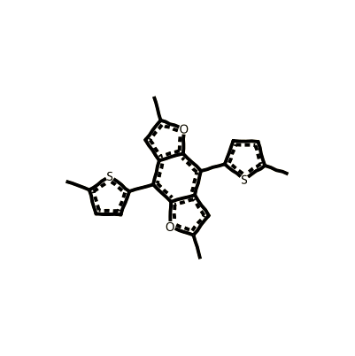 Cc1cc2c(-c3ccc(C)s3)c3oc(C)cc3c(-c3ccc(C)s3)c2o1